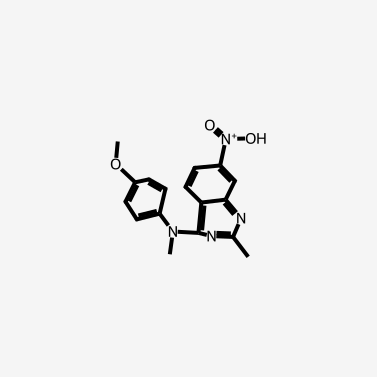 COc1ccc(N(C)c2nc(C)nc3cc([N+](=O)O)ccc23)cc1